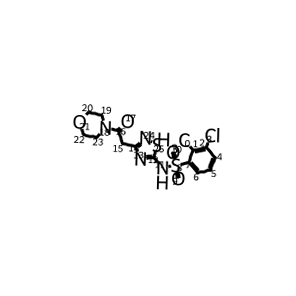 Cc1c(Cl)cccc1S(=O)(=O)Nc1nc(CC(=O)N2CCOCC2)ns1